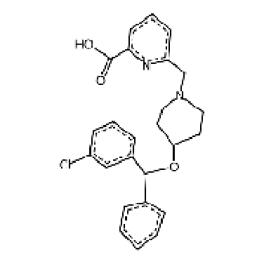 O=C(O)c1cccc(CN2CCC(OC(c3ccccc3)c3cccc(Cl)c3)CC2)n1